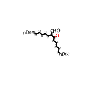 CCCCCCCCCCCCCCCC(=O)C([C]=O)CCCCCCCCCCCCCCC